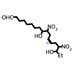 CCC(O)C(C/C=C\CC(C(O)CCCCCCC[C]=O)[N+](=O)[O-])[N+](=O)[O-]